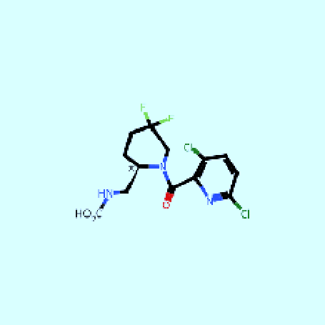 O=C(O)NC[C@H]1CCC(F)(F)CN1C(=O)c1nc(Cl)ccc1Cl